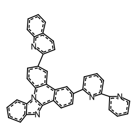 c1ccc(-c2cccc(-c3ccc4c(c3)c3cc(-c5ccc6ccccc6n5)ccc3n3c5ccccc5nc43)n2)nc1